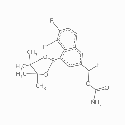 CC1(C)OB(c2cc(C(F)OC(N)=O)cc3ccc(F)c(F)c23)OC1(C)C